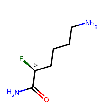 NCCCC[C@H](F)C(N)=O